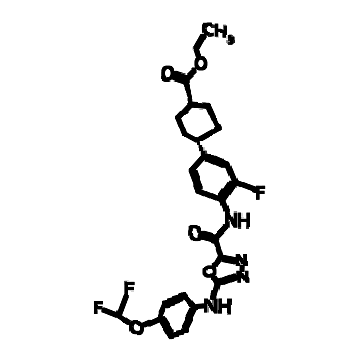 CCOC(=O)[C@H]1CC[C@H](c2ccc(NC(=O)c3nnc(Nc4ccc(OC(F)F)cc4)o3)c(F)c2)CC1